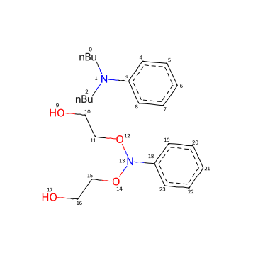 CCCCN(CCCC)c1ccccc1.OCCON(OCCO)c1ccccc1